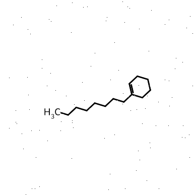 CCCCCCCCC1=CCCCC1